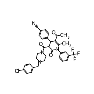 CC(=O)C1=C(C)N(c2cccc(C(F)(F)F)c2)C(=O)C(C(=O)N2CCN(Cc3ccc(Cl)cc3)CC2)C1c1ccc(C#N)cc1